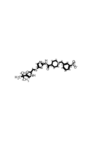 CC(C)(C)C1=CNC(CSc2cnc(NC(=O)C3CCN(Cc4cccc([N+](=O)[O-])c4)CC3)s2)O1